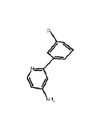 Nc1ccnc(-c2cccc(Cl)c2)c1